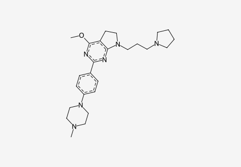 COc1nc(-c2ccc(N3CCN(C)CC3)cc2)nc2c1CCN2CCCN1CCCC1